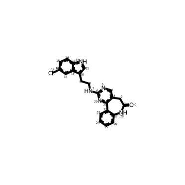 O=C1Cc2cnc(NCCc3c[nH]c4ccc(Cl)cc34)nc2-c2ccccc2N1